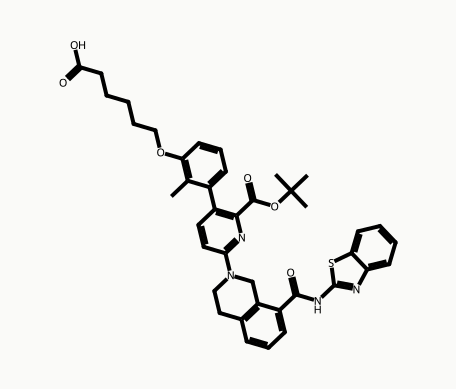 Cc1c(OCCCCCC(=O)O)cccc1-c1ccc(N2CCc3cccc(C(=O)Nc4nc5ccccc5s4)c3C2)nc1C(=O)OC(C)(C)C